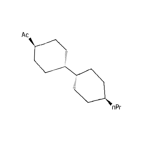 CCC[C@H]1CC[C@H]([C@H]2CC[C@H](C(C)=O)CC2)CC1